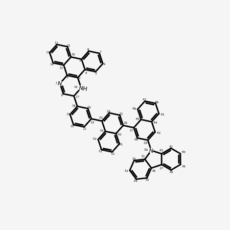 C1=Nc2c(c3ccccc3c3ccccc23)NC1c1cccc(-c2ccc(-c3cc(-n4c5ccccc5c5ccccc54)cc4ccccc34)c3ccccc23)c1